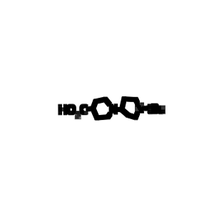 CC(C)(C)N1CCC(N2CCC(C(=O)O)CC2)CC1